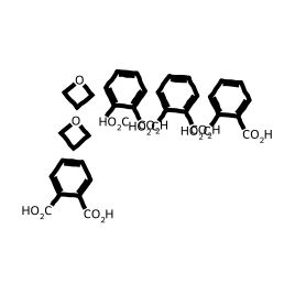 C1COC1.C1COC1.O=C(O)c1ccccc1C(=O)O.O=C(O)c1ccccc1C(=O)O.O=C(O)c1ccccc1C(=O)O.O=C(O)c1ccccc1C(=O)O